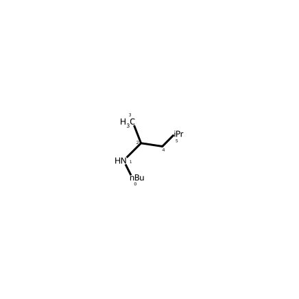 CCCCNC(C)CC(C)C